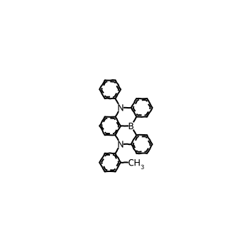 Cc1ccccc1N1c2ccccc2B2c3ccccc3N(c3ccccc3)c3cccc1c32